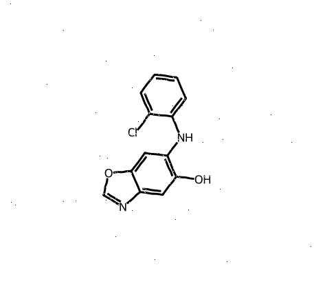 Oc1cc2ncoc2cc1Nc1ccccc1Cl